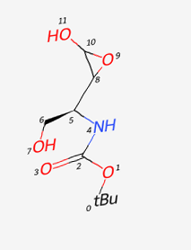 CC(C)(C)OC(=O)N[C@@H](CO)C1OC1O